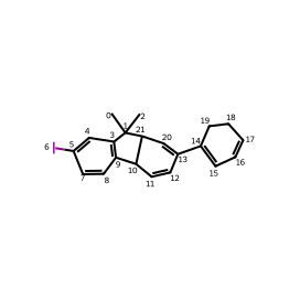 CC1(C)c2cc(I)ccc2C2C=CC(C3=CC=CCC3)=CC21